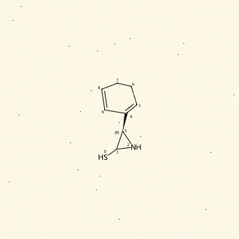 SC1N[C@@H]1C1=CCCC=C1